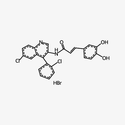 Br.O=C(/C=C/c1ccc(O)c(O)c1)Nc1cnc2ccc(Cl)cc2c1-c1ccccc1Cl